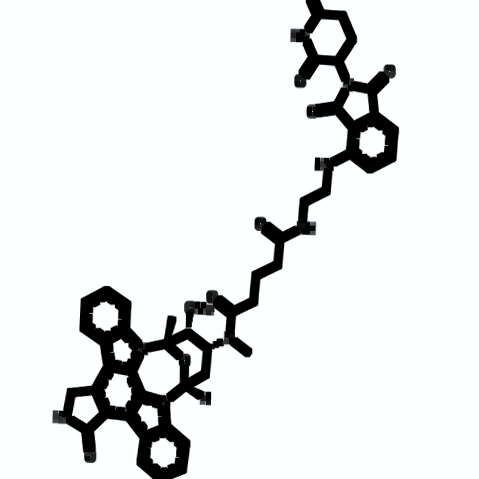 CO[C@@H]1[C@H](N(C)C(=O)CCCC(=O)NCCNc2cccc3c2C(=O)N(C2CCC(=O)NC2=O)C3=O)C[C@H]2O[C@]1(C)n1c3ccccc3c3c4c(c5c6ccccc6n2c5c31)C(=O)NC4